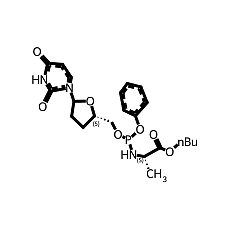 CCCCOC(=O)[C@H](C)NP(OC[C@@H]1CCC(n2ccc(=O)[nH]c2=O)O1)Oc1ccccc1